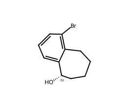 O[C@H]1CCCCc2c(Br)cccc21